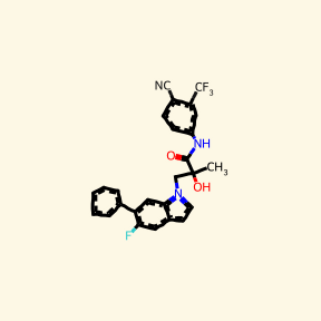 CC(O)(Cn1ccc2cc(F)c(-c3ccccc3)cc21)C(=O)Nc1ccc(C#N)c(C(F)(F)F)c1